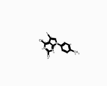 Cc1ccc(-n2cc(I)c3c(Cl)nc(Cl)nc32)cc1